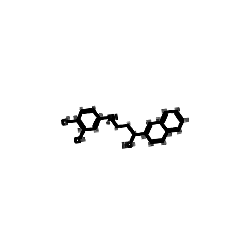 OC(CCNc1ccc(Cl)c(Cl)c1)c1ccc2ccccc2c1